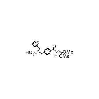 COC(CNC(=O)c1ccc(CN(Cc2cccs2)C(=O)O)cc1)OC